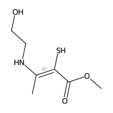 COC(=O)/C(S)=C(\C)NCCO